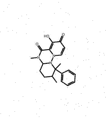 CC1CCC2N(C)C(=O)c3c(O)c(=O)ccn3N2C1(C)c1ccccc1